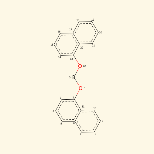 [B](Oc1cccc2ccccc12)Oc1cccc2ccccc12